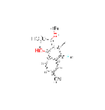 Cc1c(C(OC(C)(C)C)C(=O)O)c(O)c2ccc(C#N)cc2c1F